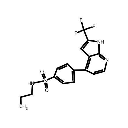 CCCNS(=O)(=O)c1ccc(-c2ccnc3[nH]c(C(F)(F)F)cc23)cc1